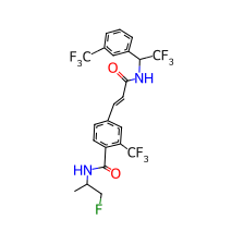 CC(CF)NC(=O)c1ccc(C=CC(=O)NC(c2cccc(C(F)(F)F)c2)C(F)(F)F)cc1C(F)(F)F